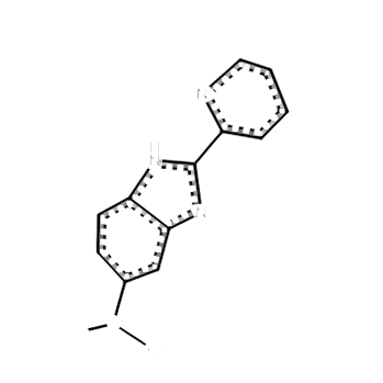 C[S+]([O-])c1ccc2[nH]c(-c3ccccn3)nc2c1